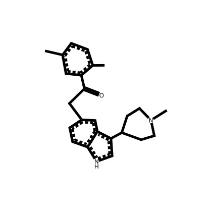 Cc1ccc(C)c(C(=O)Cc2ccc3[nH]cc(C4CCN(C)CC4)c3c2)c1